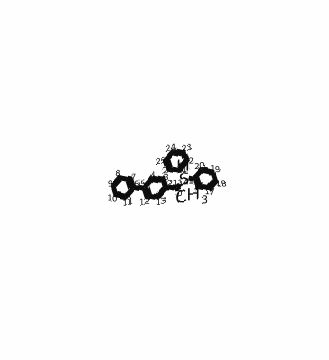 CC(c1ccc(-c2ccccc2)cc1)[SH](c1ccccc1)c1ccccc1